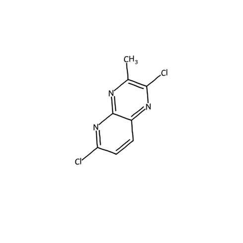 Cc1nc2nc(Cl)ccc2nc1Cl